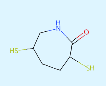 O=C1NCC(S)CCC1S